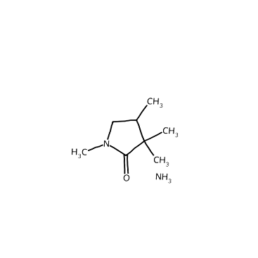 CC1CN(C)C(=O)C1(C)C.N